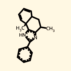 CC1CC2C=CC=CC2(C)c2[nH]c(-c3ccccc3)nc21